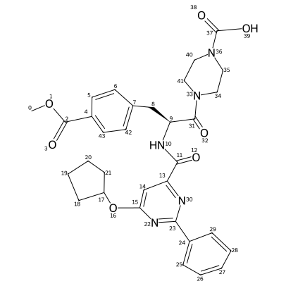 COC(=O)c1ccc(C[C@H](NC(=O)c2cc(OC3CCCC3)nc(-c3ccccc3)n2)C(=O)N2CCN(C(=O)O)CC2)cc1